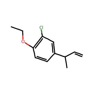 C=C[C](C)c1ccc(OCC)c(Cl)c1